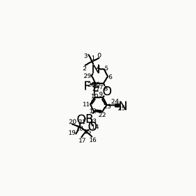 CC(C)(C)N1CCC(Oc2ccc(B3OC(C)(C)C(C)(C)O3)cc2C#N)C(F)(F)C1